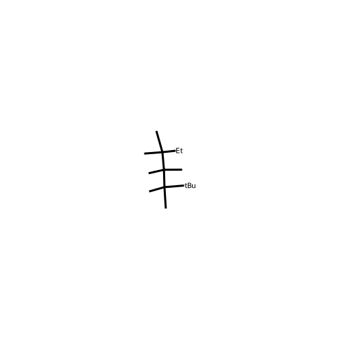 CCC(C)(C)C(C)(C)C(C)(C)C(C)(C)C